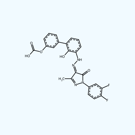 CC1=NN(c2ccc(F)c(F)c2)C(=O)C1=NNc1cccc(-c2cccc(OC(=O)O)c2)c1O